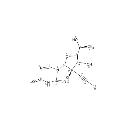 C[C@H](O)[C@H]1O[C@@H](n2cnc(=O)[nH]c2=O)[C@@](Cl)(C#CCl)C1O